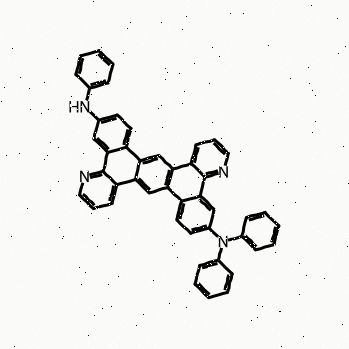 c1ccc(Nc2ccc3c4cc5c(cc4c4cccnc4c3c2)c2ccc(N(c3ccccc3)c3ccccc3)cc2c2ncccc52)cc1